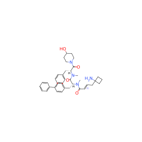 CN(C(=O)/C=C/CC1(N)CCC1)[C@H](Cc1ccc(-c2ccccc2)cc1)C(=O)N(C)[C@H](Cc1ccccc1)C(=O)N1CCC(O)CC1